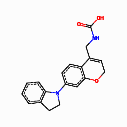 O=C(O)NCC1=CCOc2cc(N3CCc4ccccc43)ccc21